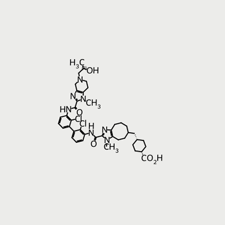 C[C@@H](O)CN1CCc2c(nc(C(=O)Nc3cccc(-c4cccc(NC(=O)c5nc6c(n5C)CCC(C[C@H]5CC[C@@H](C(=O)O)CC5)CCC6)c4Cl)c3Cl)n2C)C1